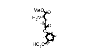 COC(=O)[C@@H](N)CNC(=O)Oc1cccc(CC(=O)O)c1